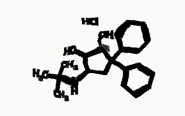 CC(C)(C)NC1CC(c2ccccc2)(c2ccccc2)[C@@H](O)C1O.Cl